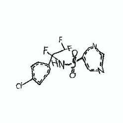 O=S(=O)(NC(F)(c1ccc(Cl)cc1)C(F)F)c1cncnc1